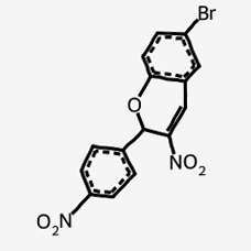 O=[N+]([O-])C1=Cc2cc(Br)ccc2OC1c1ccc([N+](=O)[O-])cc1